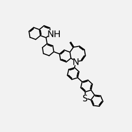 C=C1/C=C\C=C/N(c2cccc(-c3ccc4c(c3)sc3ccccc34)c2)C2C=CC(C3C=C(C4NC=CC5=C4CCC=C5)CCC3)=CC12